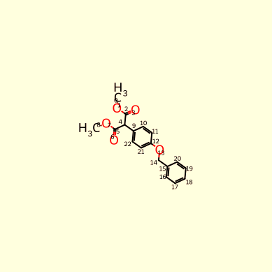 COC(=O)C(C(=O)OC)c1ccc(OCc2ccccc2)cc1